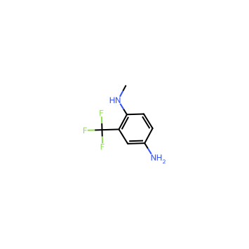 CNc1ccc(N)cc1C(F)(F)F